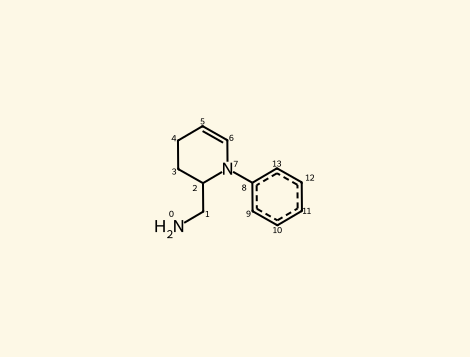 NCC1CCC=CN1c1ccccc1